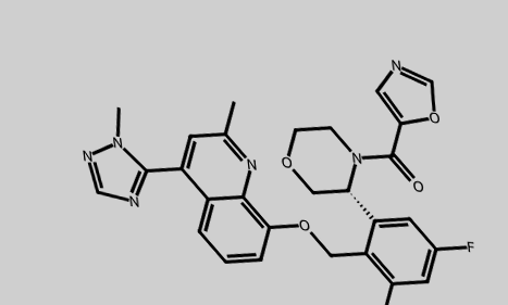 Cc1cc(-c2ncnn2C)c2cccc(OCc3c(Cl)cc(F)cc3[C@@H]3COCCN3C(=O)c3cnco3)c2n1